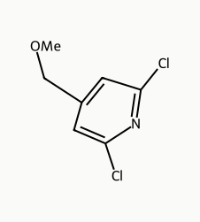 COCc1cc(Cl)nc(Cl)c1